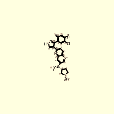 CC(C)N1CC[C@@H](N(C)c2cnc3ccc(-c4c[nH]nc4-c4cc(Cl)c(F)cc4F)nc3c2)C1